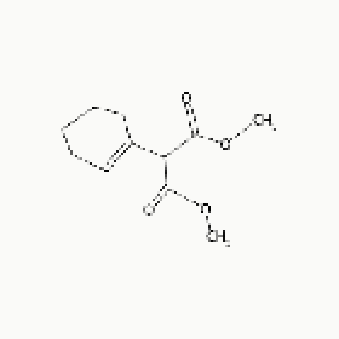 COC(=O)C(C(=O)OC)C1=CCCCC1